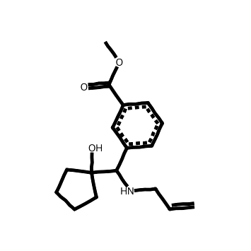 C=CCNC(c1cccc(C(=O)OC)c1)C1(O)CCCC1